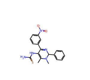 CC1=C(NC(N)=S)C(c2cccc([N+](=O)[O-])c2)=NC(c2ccccc2)N1C